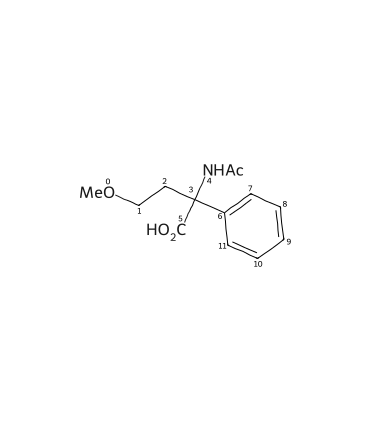 COCCC(NC(C)=O)(C(=O)O)c1ccccc1